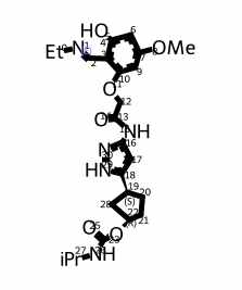 CC/N=C/c1c(O)cc(OC)cc1OCC(=O)Nc1cc([C@H]2CC[C@@H](OC(=O)NC(C)C)C2)[nH]n1